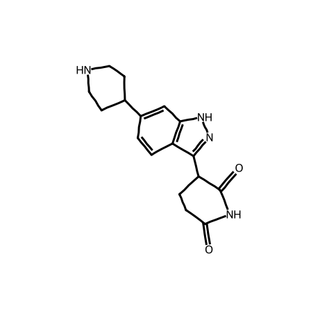 O=C1CCC(c2n[nH]c3cc(C4CCNCC4)ccc23)C(=O)N1